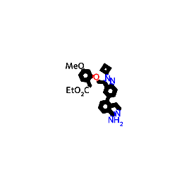 CCOC(=O)Cc1ccc(OC)cc1OCc1c2cc(-c3cccc4c(N)nccc34)ccc2nn1C1CCC1